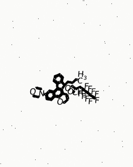 CCCCC1(OCCCC(F)(F)C(F)(F)C(F)(F)C(F)(F)F)c2ccccc2-c2c1c1c(c3ccc(N4CCOCC4)cc23)OCC=C1OC